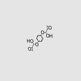 OC(Oc1ccc(OC(O)C2CO2)cc1)C1CO1